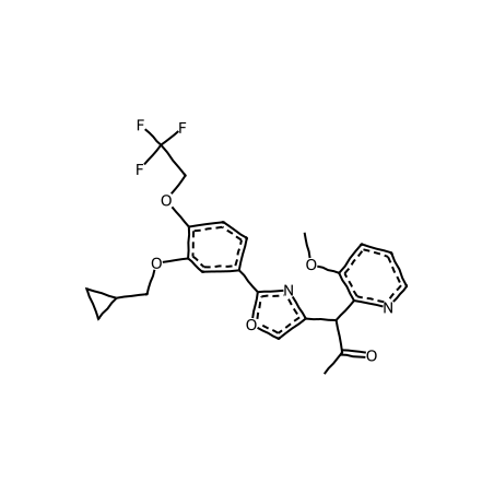 COc1cccnc1C(C(C)=O)c1coc(-c2ccc(OCC(F)(F)F)c(OCC3CC3)c2)n1